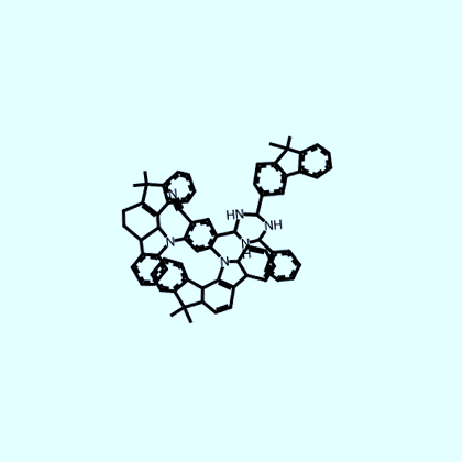 CC1(C)C2=C(c3ccccc31)C1C(CC2)c2ccccc2N1c1cc(N2C3=C(C=CC4C3c3ccccc3C4(C)C)C3C=CC=CC32)c(C2NC(c3ccccc3)NC(c3ccc4c(c3)-c3ccccc3C4(C)C)N2)cc1C#N